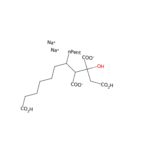 CCCCCC(CCCCCC(=O)O)C(C(=O)[O-])C(O)(CC(=O)O)C(=O)[O-].[Na+].[Na+]